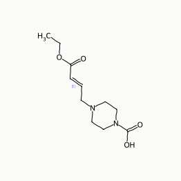 CCOC(=O)/C=C/CN1CCN(C(=O)O)CC1